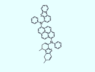 CC1C=Cc2sc3c(c2C1)C(C)CC=C3N(c1ccccc1)c1ccc2ccc3c(N(c4ccccc4)c4cccc5c4sc4ccccc45)ccc4ccc1c2c43